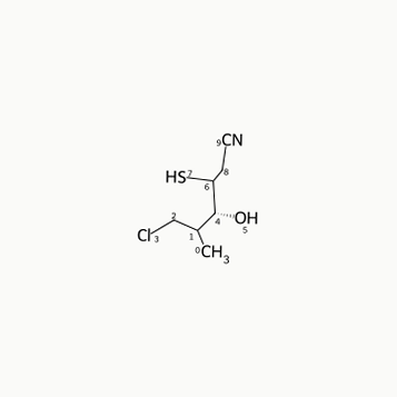 CC(CCl)[C@@H](O)C(S)CC#N